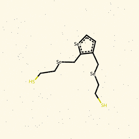 SCC[Se]Cc1cc[se]c1C[Se]CCS